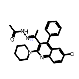 CC(=O)N/N=C(\C)c1c(N2CCCCC2)nc2ccc(Cl)cc2c1-c1ccccc1